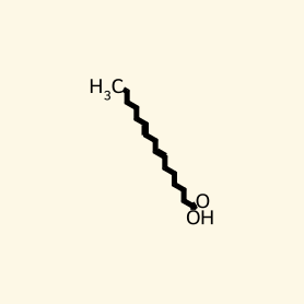 CCCCCC=CCC=CCCCCCC(=O)O